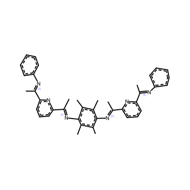 C/C(=N\c1ccccc1)c1cccc(/C(C)=N/c2c(C)c(C)c(/N=C(\C)c3cccc(/C(C)=N/c4ccccc4)n3)c(C)c2C)n1